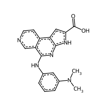 CN(C)c1cccc(Nc2nc3[nH]c(C(=O)O)cc3c3ccncc23)c1